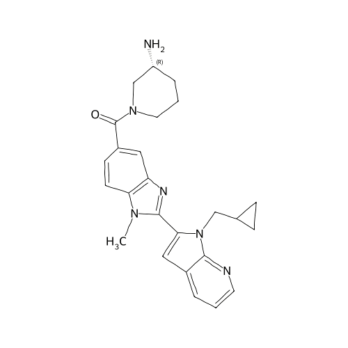 Cn1c(-c2cc3cccnc3n2CC2CC2)nc2cc(C(=O)N3CCC[C@@H](N)C3)ccc21